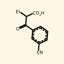 CCC(C(=O)O)C(=O)c1cccc(C#N)c1